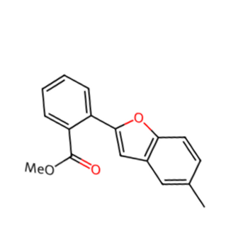 COC(=O)c1ccccc1-c1cc2cc(C)ccc2o1